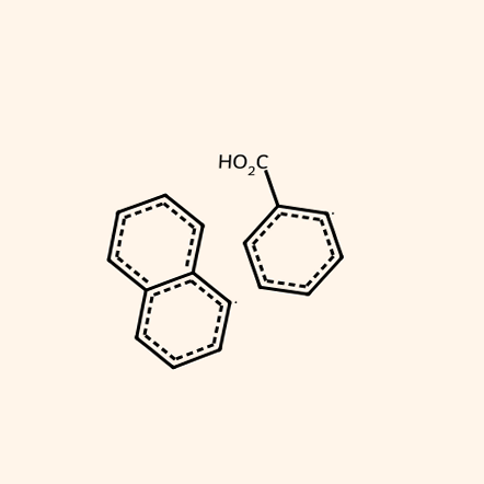 O=C(O)c1[c]cccc1.[c]1cccc2ccccc12